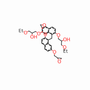 CCOCC(O)COc1ccc2ccc(OCC(O)COCC)c(Cc3c(OCC4CO4)ccc4ccc(OCC5CO5)cc34)c2c1